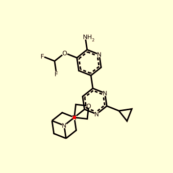 Nc1ncc(-c2cc(N3CC4CC(C3)N4C3COC3)nc(C3CC3)n2)cc1OC(F)F